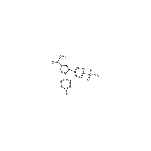 COC(=O)C1C=C(c2ccc(F)cc2)C(c2ccc(S(N)(=O)=O)nc2)=C1